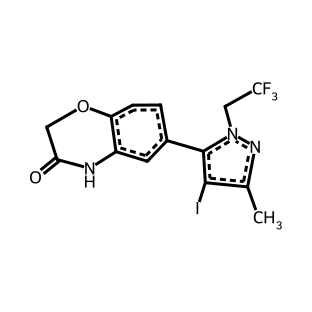 Cc1nn(CC(F)(F)F)c(-c2ccc3c(c2)NC(=O)CO3)c1I